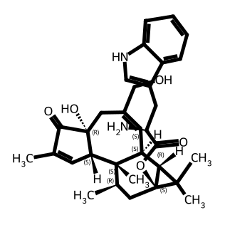 CC1=C[C@H]2[C@@]3(C)[C@H](C)C[C@]4(OC(=O)[C@@H](N)Cc5c[nH]c6ccccc56)[C@H]([C@@H]3C=C(CO)C[C@]2(O)C1=O)C4(C)C